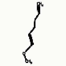 C=CCCC=COC